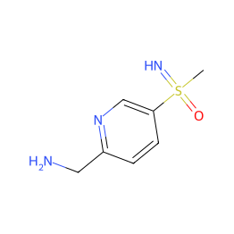 CS(=N)(=O)c1ccc(CN)nc1